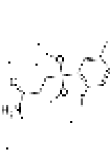 COC(CCC(N)=O)(OC)c1cc(C)ccc1I